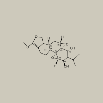 COC1=C2CC[C@@]3(C)[C@@H](C[C@@H]4O[C@@]45[C@H](O)C(C(C)C)[C@@H](O)[C@@H]4O[C@@]453)C2CO1